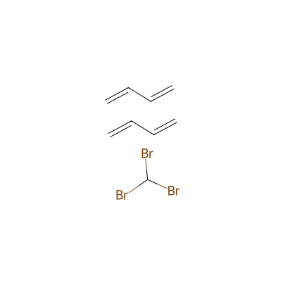 BrC(Br)Br.C=CC=C.C=CC=C